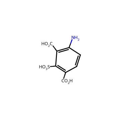 Nc1ccc(C(=O)O)c(S(=O)(=O)O)c1C(=O)O